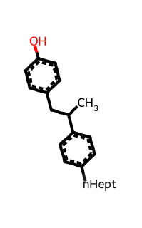 CCCCCCCc1ccc(C(C)Cc2ccc(O)cc2)cc1